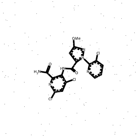 COc1cc(C(=O)Nc2c(Cl)cc(Cl)nc2C(N)=O)n(-c2ncccc2Cl)n1